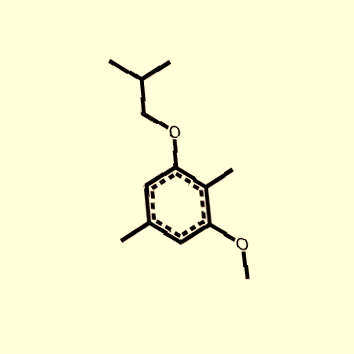 COc1cc(C)cc(OCC(C)C)c1C